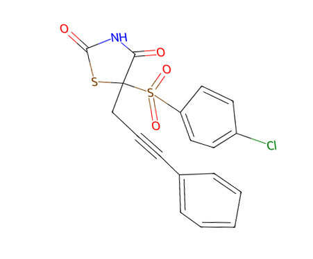 O=C1NC(=O)C(CC#Cc2ccccc2)(S(=O)(=O)c2ccc(Cl)cc2)S1